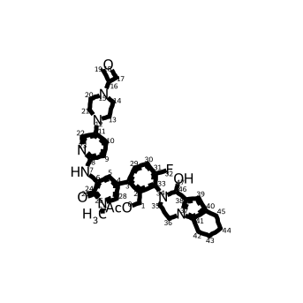 CC(=O)OCc1c(-c2cc(Nc3ccc(N4CCN(C5COC5)CC4)cn3)c(=O)n(C)c2)ccc(F)c1N1CCn2c(cc3c2CCCC3)C1O